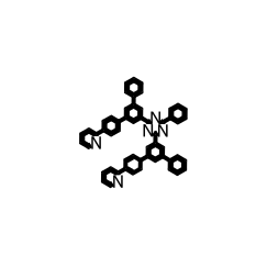 C1=CC(c2cc(-c3ccccc3)cc(-c3nc(-c4ccccc4)nc(-c4cc(-c5ccccc5)cc(-c5ccc(-c6ccccn6)cc5)c4)n3)c2)CC=C1c1ccccn1